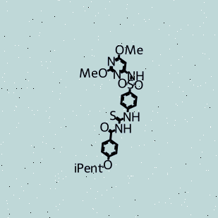 CCCC(C)Oc1ccc(C(=O)NC(=S)Nc2ccc(S(=O)(=O)Nc3cc(OC)nc(OC)n3)cc2)cc1